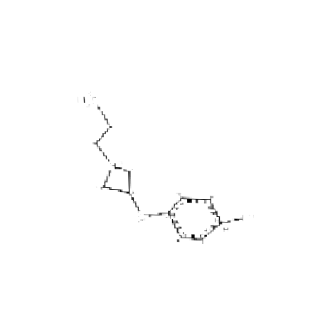 CCCN1CC(Oc2ccc(I)cc2)C1